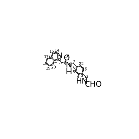 O=CNCc1ccc(CNC(=O)Cc2nccc3ccccc23)cc1